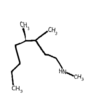 CCCC[C@@H](C)C(C)CCNC